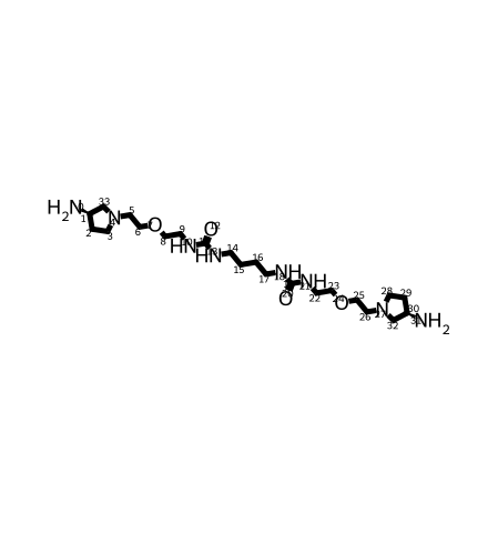 N[C@@H]1CCN(CCOCCNC(=O)NCCCCNC(=O)NCCOCCN2CC[C@@H](N)C2)C1